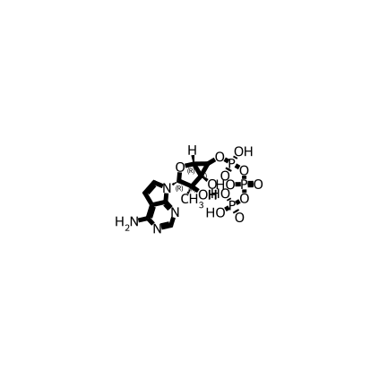 C[C@]1(O)[C@H](n2ccc3c(N)ncnc32)O[C@@H]2C(OP(=O)(O)OP(=O)(O)OP(=O)(O)O)[C@@]21O